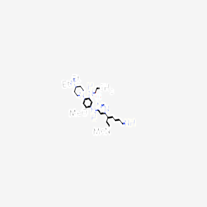 C=CC(=O)Nc1cc(Nc2cc(C(/C=C/NC)=C/C=C/C=N)ncn2)c(OC)cc1N1CCC(N(CC)CC)CC1